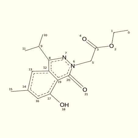 CCOC(=O)Cn1nc(C(C)C)c2cc(C)cc(O)c2c1=O